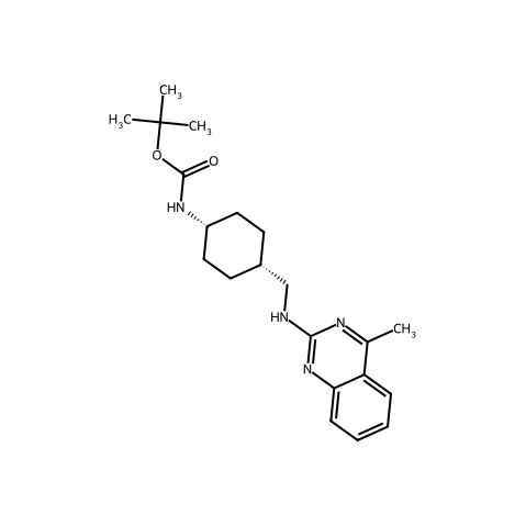 Cc1nc(NC[C@H]2CC[C@@H](NC(=O)OC(C)(C)C)CC2)nc2ccccc12